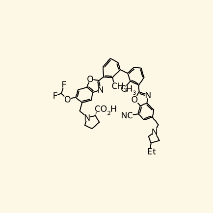 CCC1CN(Cc2cc(C#N)c3oc(-c4cccc(-c5cccc(-c6nc7cc(CN8CCC[C@H]8C(=O)O)c(OC(F)F)cc7o6)c5C)c4C)nc3c2)C1